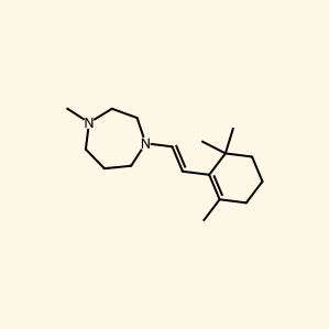 CC1=C(/C=C/N2CCCN(C)CC2)C(C)(C)CCC1